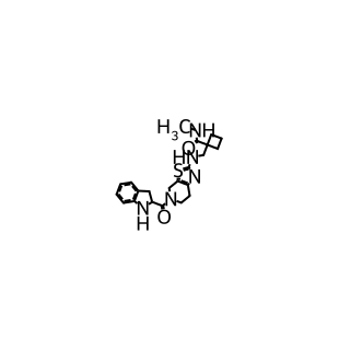 CNC(=O)C1(CNc2nc3c(s2)CN(C(=O)C2Cc4ccccc4N2)CC3)CCC1